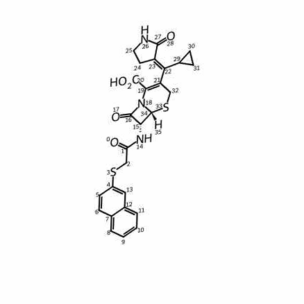 O=C(CSc1ccc2ccccc2c1)N[C@@H]1C(=O)N2C(C(=O)O)=C(C(=C3CCNC3=O)C3CC3)CS[C@H]12